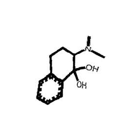 CN(C)C1CCc2ccccc2C1(O)O